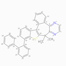 CC1(C)c2nccnc2-c2ccccc2-c2c1sc1c(-c3ccccc3-c3ccccc3)cccc21